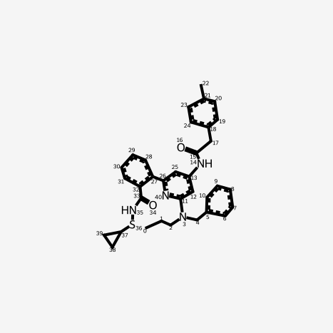 CCCN(Cc1ccccc1)c1cc(NC(=O)Cc2ccc(C)cc2)cc(-c2ccccc2C(=O)NSC2CC2)n1